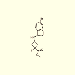 COC(=O)C1(F)CC(N[C@@H]2CCc3cc(Br)ccc32)C1